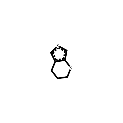 c1scc2c1CCCS2